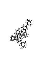 c1ccc(-c2ccc3c(c2)-c2cccc4c2B3c2cccc3c2N4c2cc(-c4ccccc4)cc4c2B3c2ccccc2-4)cc1